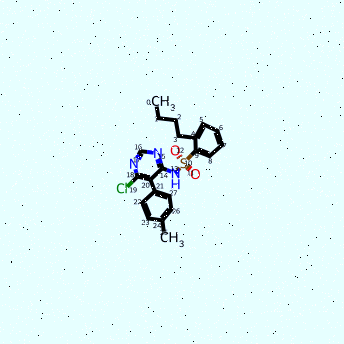 CCCCc1ccccc1S(=O)(=O)Nc1ncnc(Cl)c1-c1ccc(C)cc1